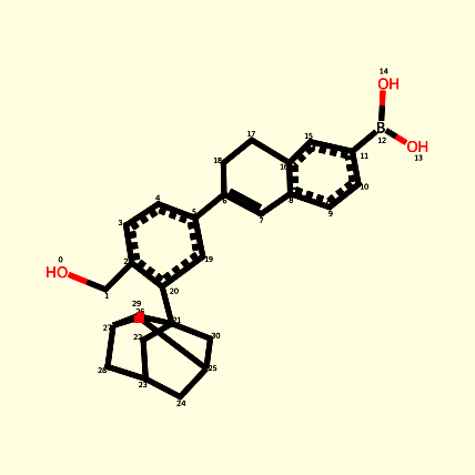 OCc1ccc(C2=Cc3ccc(B(O)O)cc3CC2)cc1C12CC3CC(CC(C3)C1)C2